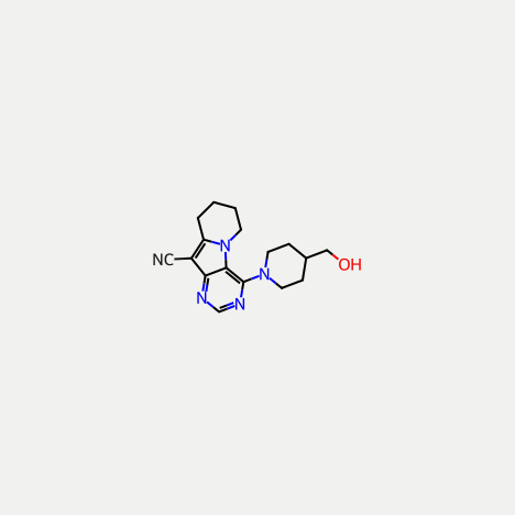 N#Cc1c2n(c3c(N4CCC(CO)CC4)ncnc13)CCCC2